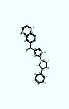 CC(c1ccc2nccnc2c1)c1cnc(N2CCC(c3ccccc3)C2)s1